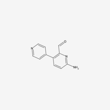 Nc1ccc(-c2ccncc2)c(C=O)n1